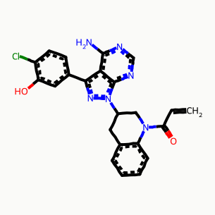 C=CC(=O)N1CC(n2nc(-c3ccc(Cl)c(O)c3)c3c(N)ncnc32)Cc2ccccc21